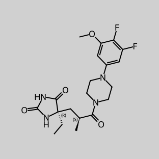 CC[C@]1(C[C@H](C)C(=O)N2CCN(c3cc(F)c(F)c(OC)c3)CC2)NC(=O)NC1=O